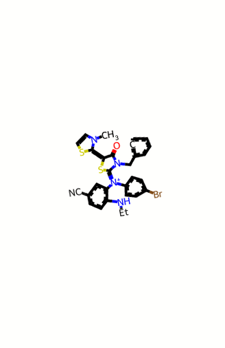 CCNc1ccc(C#N)cc1[N+](=C1SC(=C2SC=CN2C)C(=O)N1Cc1ccccc1)c1ccc(Br)cc1